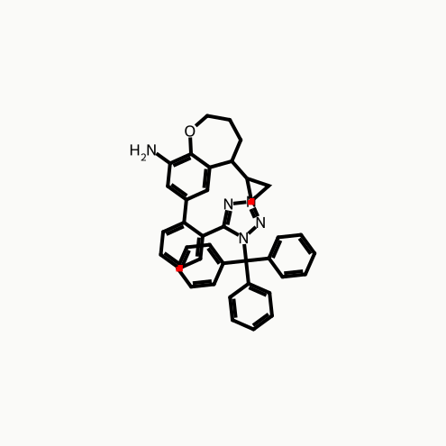 Nc1cc(-c2ccccc2-c2nnnn2C(c2ccccc2)(c2ccccc2)c2ccccc2)cc2c1OCCCC2C1CC1